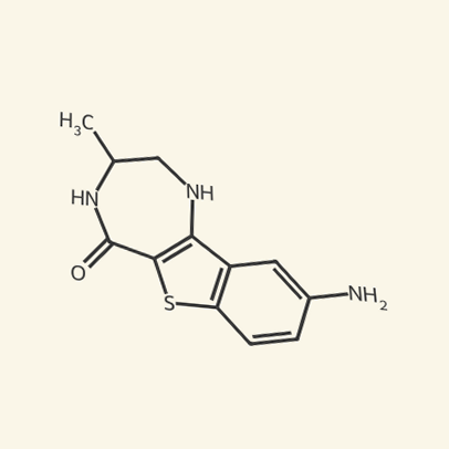 CC1CNc2c(sc3ccc(N)cc23)C(=O)N1